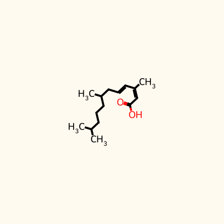 CC(C=CCC(C)CCCC(C)C)=CC(=O)O